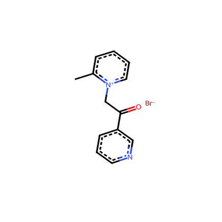 Cc1cccc[n+]1CC(=O)c1cccnc1.[Br-]